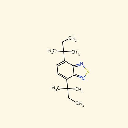 CCC(C)(C)c1ccc(C(C)(C)CC)c2nsnc12